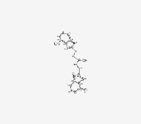 O=C(CCc1nc2cccc(Cl)c2s1)CCc1nc2cccc(Cl)c2s1